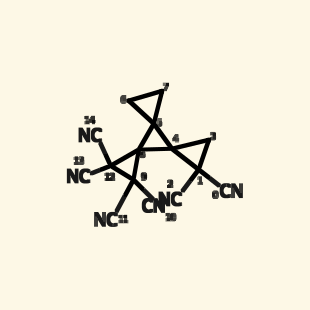 N#CC1(C#N)CC12C1(CC1)C21C(C#N)(C#N)C1(C#N)C#N